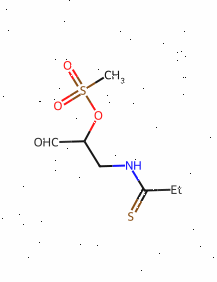 [CH2]CC(=S)NCC(C=O)OS(C)(=O)=O